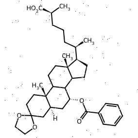 C[C@H](CCC[C@H](C)C(=O)O)[C@H]1CCC2C3C(CC[C@@]21C)[C@@]1(C)CCC2(C[C@@H]1C[C@H]3OC(=O)c1ccccc1)OCCO2